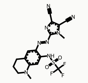 CN1CCCc2cc(N=Nc3nc(C#N)c(C#N)n3C)c(NS(=O)(=O)C(F)(F)F)cc21